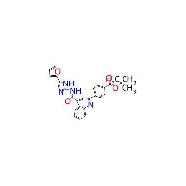 CC(C)(C)OC(=O)c1ccc(-c2cc(C(=O)Nc3ncc(-c4ccco4)[nH]3)c3ccccc3n2)cc1